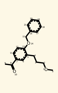 COCCCc1cc(C(C)=O)ccc1OCc1ccccc1